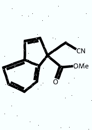 COC(=O)C1(CC#N)C=Cc2ccccc21